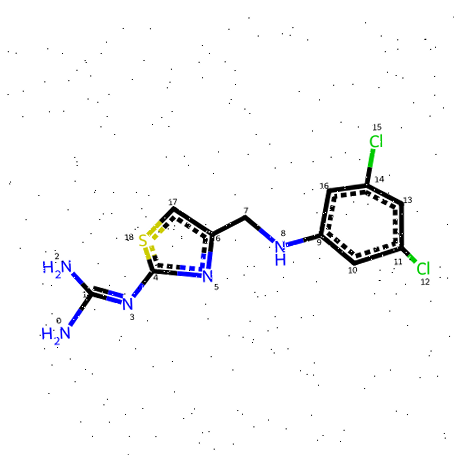 NC(N)=Nc1nc(CNc2cc(Cl)cc(Cl)c2)cs1